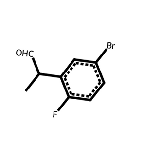 CC(C=O)c1cc(Br)ccc1F